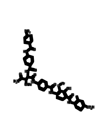 COC(C(N)=O)C(NC(=O)c1ccc(NC(=O)c2ccc([N+](=O)[O-])cc2)cc1)C(=O)Nc1ccc(C(=O)Nc2ccc(C(=O)Nc3ccc(C(=O)O)cc3C)c(O)c2OC(C)C)cc1